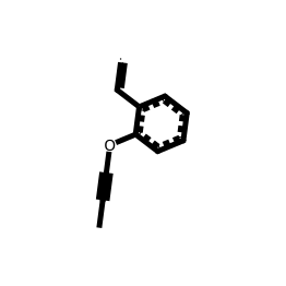 [CH]=Cc1ccccc1OC#CC